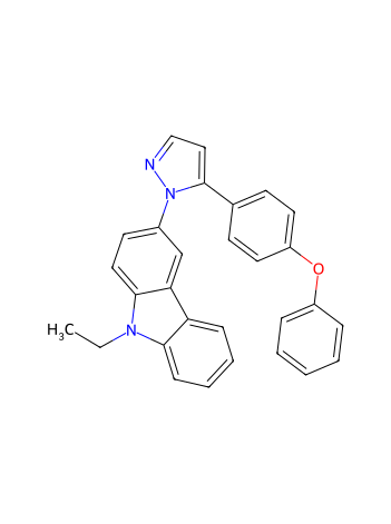 CCn1c2ccccc2c2cc(-n3nccc3-c3ccc(Oc4ccccc4)cc3)ccc21